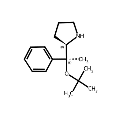 CC(C)(C)O[C@@](C)(c1ccccc1)[C@H]1CCCN1